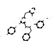 O=S(=O)(c1ccc(C(F)(F)F)cc1)c1nc(Cc2scnc2OC(F)(F)F)sc1C(O)C(Cc1ccccc1)Oc1cccc(OC(F)(F)F)c1